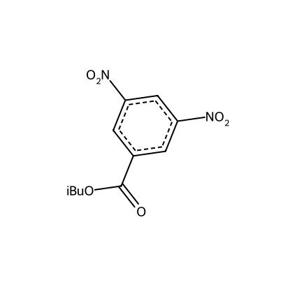 CC(C)COC(=O)c1cc([N+](=O)[O-])cc([N+](=O)[O-])c1